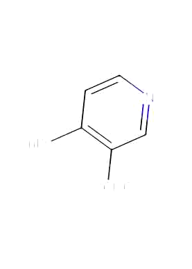 CCCc1ccncc1C=O